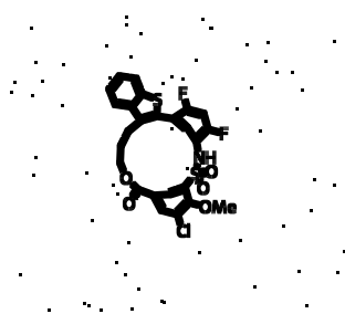 COc1c(Cl)cc2cc1S(=O)(=O)Nc1cc(c(F)cc1F)-c1sc3ccccc3c1CCCOC2=O